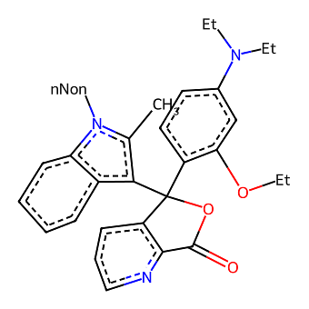 CCCCCCCCCn1c(C)c(C2(c3ccc(N(CC)CC)cc3OCC)OC(=O)c3ncccc32)c2ccccc21